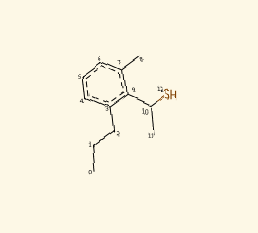 CCCc1cccc(C)c1C(C)S